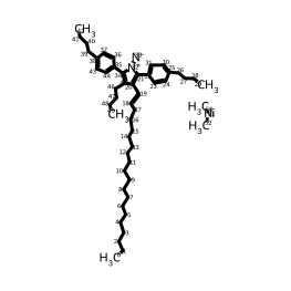 CCCCCCCCCCCCCCCCCCC=CC1=C(c2ccc(CCCC)cc2)[N+](=[N-])C(c2ccc(CCCC)cc2)=C1CCCC.[CH3][Ni][CH3]